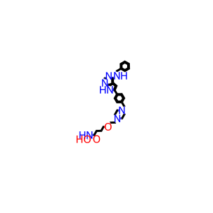 O=C(CCCOCCN1CCN(Cc2ccc(-c3cc4c(NCc5ccccc5)ncnc4[nH]3)cc2)CC1)NO